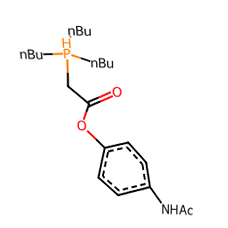 CCCC[PH](CCCC)(CCCC)CC(=O)Oc1ccc(NC(C)=O)cc1